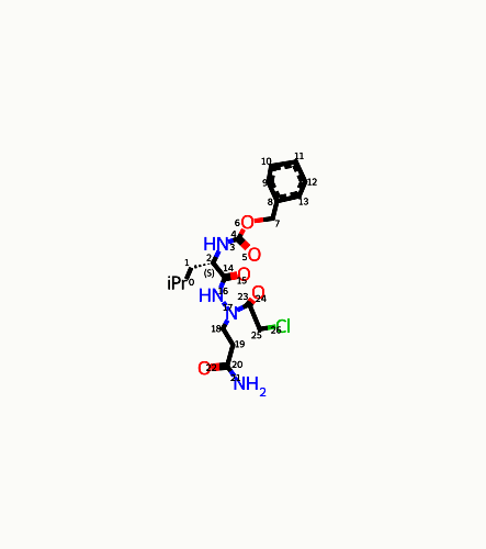 CC(C)C[C@H](NC(=O)OCc1ccccc1)C(=O)NN(CCC(N)=O)C(=O)CCl